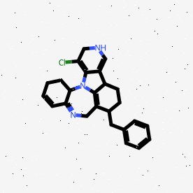 ClC1=C2C(=CNC1)C1CCC(Cc3ccccc3)C3=C1N2C1CCC=CC1=NC3